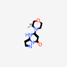 C[C@@H]1COCCN1c1cc(=O)n2nccc2[nH]1